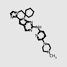 CN1CCN(c2ccc(Nc3ncc4cc5n(c4n3)C3(CCCCC3)Cn3ccnc3-5)nc2)CC1